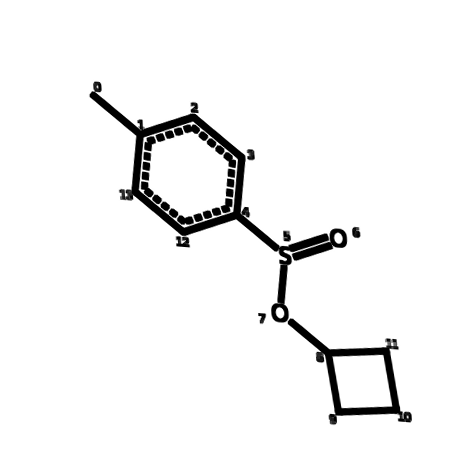 Cc1ccc(S(=O)OC2CCC2)cc1